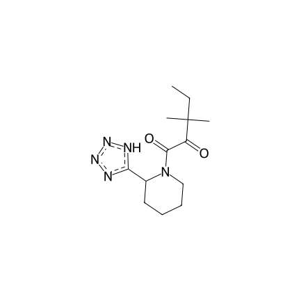 CCC(C)(C)C(=O)C(=O)N1CCCCC1c1nnn[nH]1